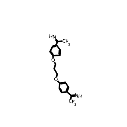 N=C(c1ccc(OCCCOc2ccc(C(=N)C(F)(F)F)cc2)cc1)C(F)(F)F